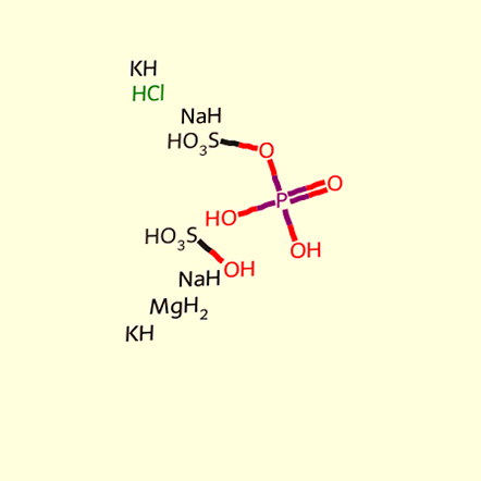 Cl.O=P(O)(O)OS(=O)(=O)O.O=S(=O)(O)O.[KH].[KH].[MgH2].[NaH].[NaH]